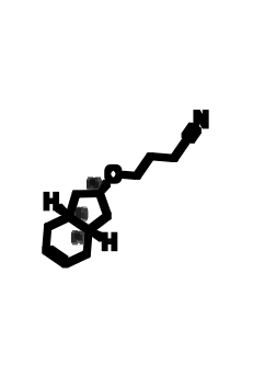 N#CCCCO[C@@H]1C[C@H]2CC=CC[C@H]2C1